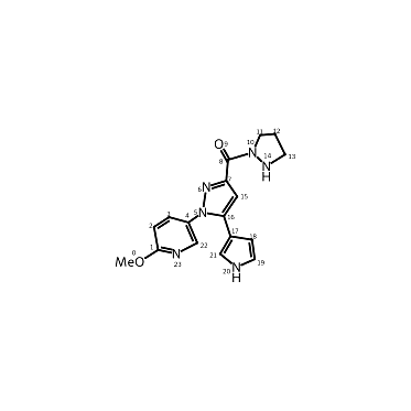 COc1ccc(-n2nc(C(=O)N3CCCN3)cc2-c2cc[nH]c2)cn1